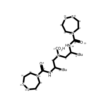 CC(C)(C)C(CN(CC(NC(=O)N1CCSSCC1)C(C)(C)C)C(=O)O)NC(=O)N1CCSSCC1